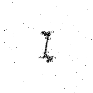 CC[C@@H]1C(=O)N(C)c2cnc(Nc3ccc(C(=O)NCCCOCCOCCOCCCNC(=O)COc4cccc(C=O)c4C(=O)NC4CCC(=O)NC4=O)cc3OC)nc2N1C1CCCC1